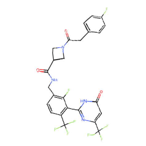 O=C(NCc1ccc(C(F)(F)F)c(-c2nc(C(F)(F)F)cc(=O)[nH]2)c1F)C1CN(C(=O)Cc2ccc(F)cc2)C1